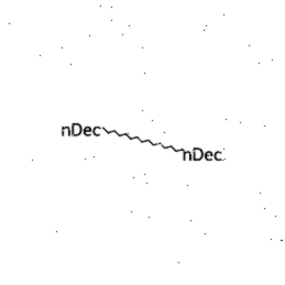 [CH2]CCCCCCCCCCCCCCCCCCCCCCCCCCCCCCCCC[CH2]